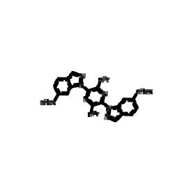 CCCCCCc1ccc2cnn(-c3nc(CCC)c(-n4ncc5ccc(CCCCCC)cc54)nc3CCC)c2c1